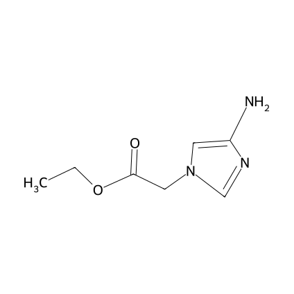 CCOC(=O)Cn1cnc(N)c1